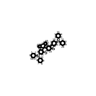 c1ccc(N(c2ccccc2)c2ccc3c(c2)Sc2cc4sc5cc(N(c6ccccc6)c6ccccc6)ccc5c4cc2C32c3ccccc3-c3ccccc32)cc1